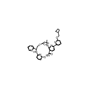 CC1(C)CC2CCC(c3ccccn3)Nc3cccc(n3)SNC(=O)c3ccc(-c4cccc(OCC5CCC5)n4)nc3N1C2